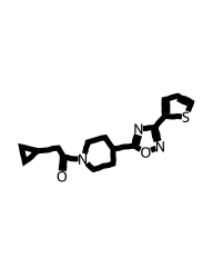 O=C(CC1CC1)N1CCC(c2nc(-c3cccs3)no2)CC1